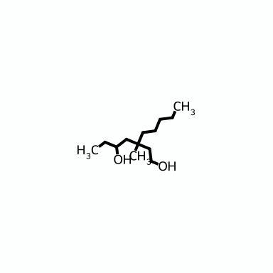 CCCCCC(C)(CCO)CC(O)CC